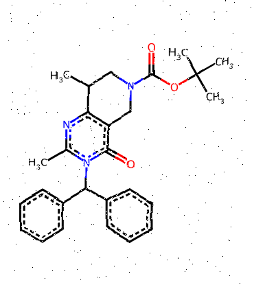 Cc1nc2c(c(=O)n1C(c1ccccc1)c1ccccc1)CN(C(=O)OC(C)(C)C)CC2C